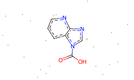 O=C(O)n1cnc2ncccc21